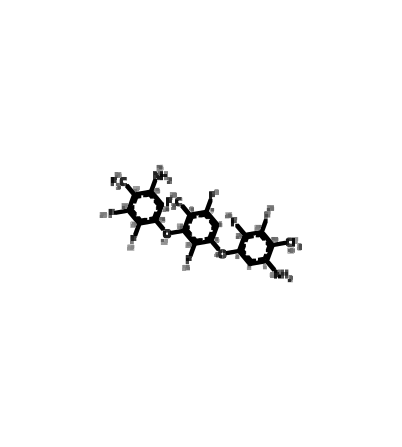 Nc1cc(Oc2cc(F)c(C(F)(F)F)c(Oc3cc(N)c(C(F)(F)F)c(F)c3F)c2F)c(F)c(F)c1C(F)(F)F